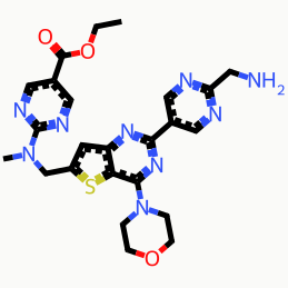 CCOC(=O)c1cnc(N(C)Cc2cc3nc(-c4cnc(CN)nc4)nc(N4CCOCC4)c3s2)nc1